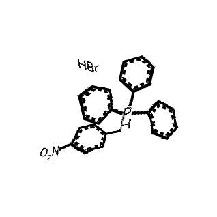 Br.O=[N+]([O-])c1ccc(C[PH](c2ccccc2)(c2ccccc2)c2ccccc2)cc1